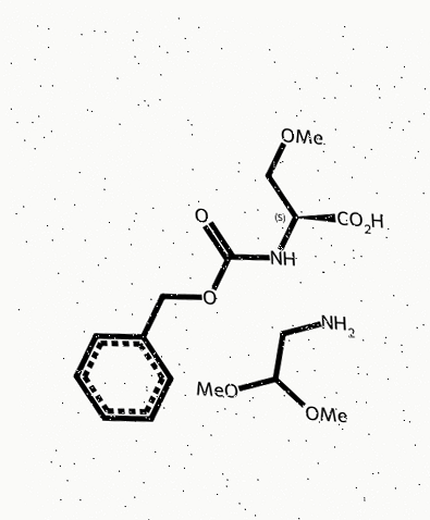 COC(CN)OC.COC[C@H](NC(=O)OCc1ccccc1)C(=O)O